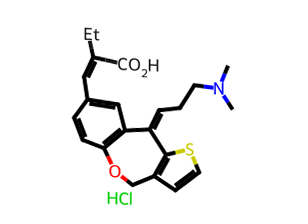 CCC(=Cc1ccc2c(c1)C(=CCCN(C)C)c1sccc1CO2)C(=O)O.Cl